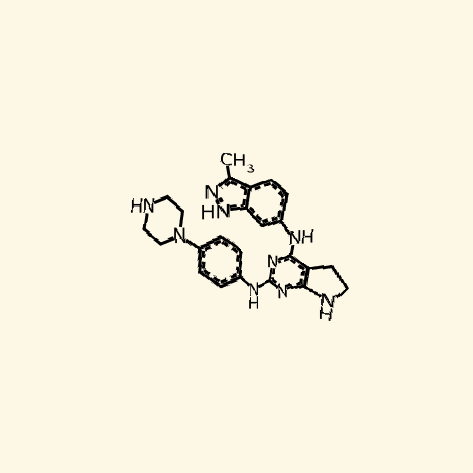 Cc1n[nH]c2cc(Nc3nc(Nc4ccc(N5CCNCC5)cc4)nc4c3CCN4)ccc12